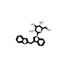 OCC1OC(n2cc(Cc3cc4ccccc4s3)c3ccccc32)[C@H](O)C(O)[C@@H]1O